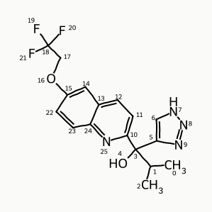 CC(C)C(O)(c1c[nH]nn1)c1ccc2cc(OCC(F)(F)F)ccc2n1